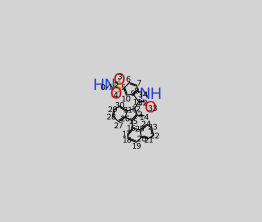 CNS(=O)(=O)c1ccc2c(c1)C(C1C(C)=C(c3cccc4ccccc34)c3ccccc31)C(=O)N2